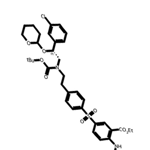 CCNc1ccc(S(=O)(=O)c2ccc(CCN(C[C@H](OC3CCCCO3)c3cccc(Cl)c3)C(=O)OC(C)(C)C)cc2)cc1C(=O)OCC